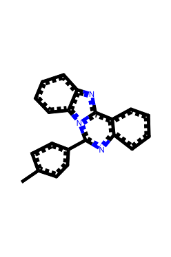 Cc1ccc(-c2nc3ccccc3c3nc4ccccc4n23)cc1